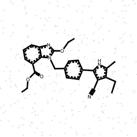 CCOC(=O)c1cccc2nc(OCC)n(Cc3ccc(-c4[nH]c(C)c(CC)c4C#N)cc3)c12